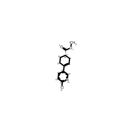 COC(=O)[C@@H]1CC=C(c2ccc(Cl)nc2)CC1